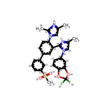 Cc1cn(-c2ccc(-c3cccc(S(C)(=O)=O)c3)cc2-c2nc(C)cn2-c2ccc3c(c2)OC(F)(F)O3)c(C)n1